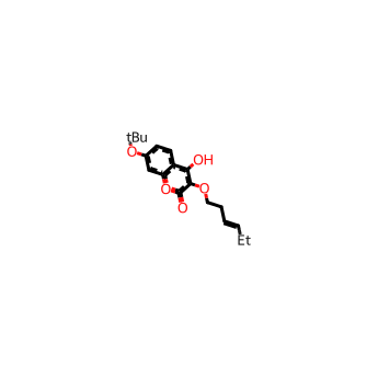 CC/C=C/CCOc1c(O)c2ccc(OC(C)(C)C)cc2oc1=O